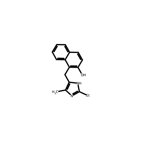 CCc1nc(C)c(Cc2c(O)ccc3ccccc23)[nH]1